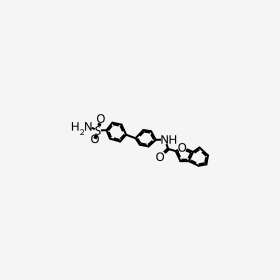 NS(=O)(=O)c1ccc(-c2ccc(NC(=O)c3cc4ccccc4o3)cc2)cc1